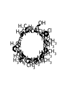 CC(C)C[C@@H]1NC(=O)[C@H](CC(C)C)N(C)C(=O)[C@H](Cc2cccc(Cl)c2)N(C)C(=O)[C@H](COCCO)CNC(=O)[C@H](CC(C)C)N(C)C(=O)CCCN(C)C(=O)C[C@@H](C(=O)N2CCCCC2)NC(=O)[C@H](CC(C)C)N(C)C(=O)[C@H](CC(C)C)N(C)C(=O)[C@H]([C@@H](C)O)NC(=O)[C@H](CC(C)C)N(C)C1=O